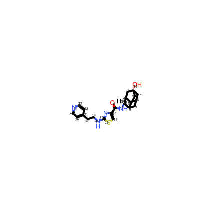 O=C(N[C@H]1C2CC3CC1C[C@](O)(C3)C2)c1csc(NCCc2ccncc2)n1